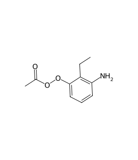 CCc1c(N)cccc1OOC(C)=O